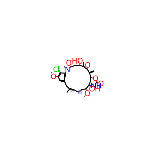 C=C1C2CC(O)(NC(=O)O2)C(OC)/C=C/C=C(\C)Cc2cc(OC)c(Cl)c(c2)N(C)C(=O)CC(O)C2(C)OC12